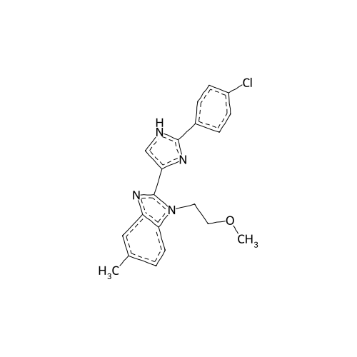 COCCn1c(-c2c[nH]c(-c3ccc(Cl)cc3)n2)nc2cc(C)ccc21